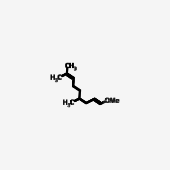 COC=CCC(C)CCC=C(C)C